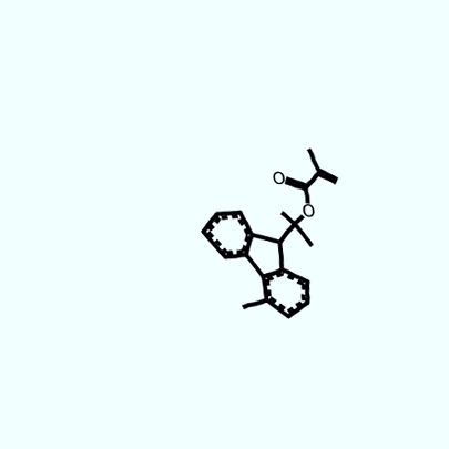 C=C(C)C(=O)OC(C)(C)C1c2ccccc2-c2c(C)cccc21